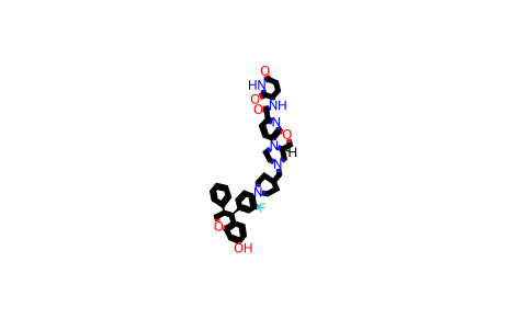 O=C1CCC(NC(=O)c2ccc3c(n2)OC[C@H]2CN(CC4CCN(c5ccc([C@H]6c7ccc(O)cc7OC[C@H]6c6ccccc6)cc5F)CC4)CCN32)C(=O)N1